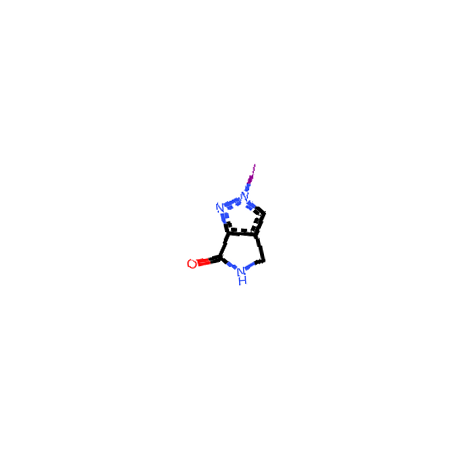 O=C1NCc2cn(I)nc21